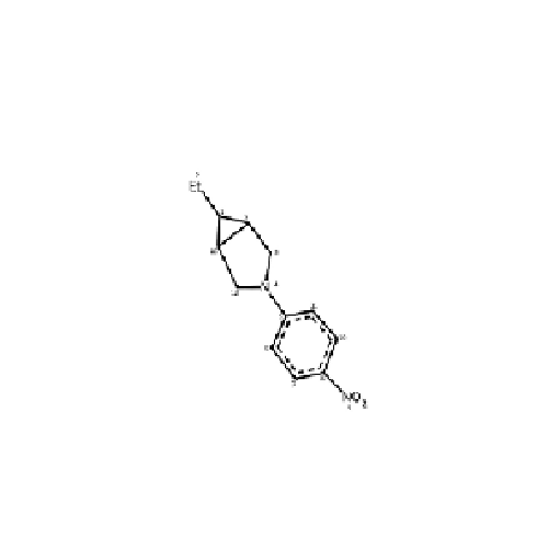 CCC1C2CN(c3ccc([N+](=O)[O-])cc3)CC12